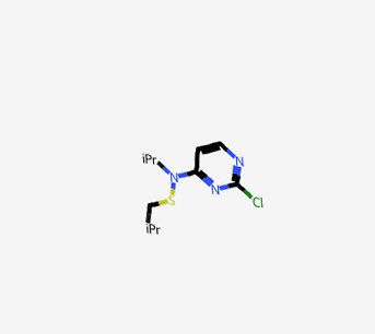 CC(C)CSN(c1ccnc(Cl)n1)C(C)C